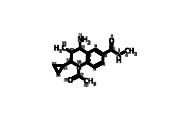 CNC(=O)c1ccc2c(c1)[C@H](N)C(C)C(C1CC1)N2C(C)=O